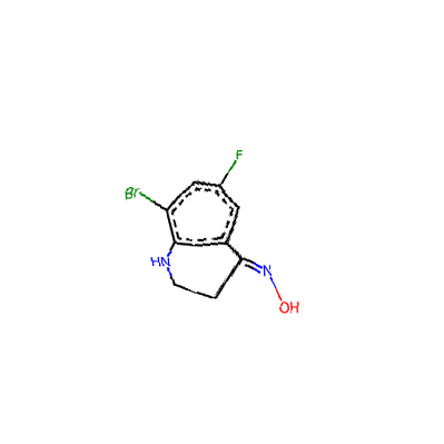 ON=C1CCNc2c(Br)cc(F)cc21